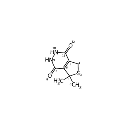 CC1(C)SCc2c1c(=O)[nH][nH]c2=O